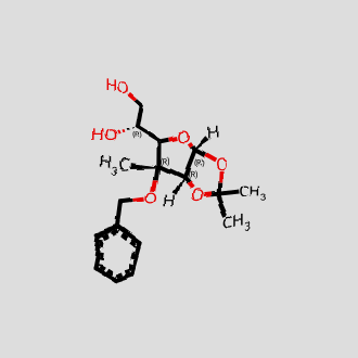 CC1(C)O[C@H]2OC([C@H](O)CO)[C@@](C)(OCc3ccccc3)[C@H]2O1